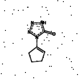 O=c1[nH]nnn1C1=CCCC1